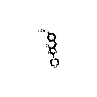 CCCCCCCCc1ccc(C=C2SC(N3CCOCC3)=NC2=O)cc1